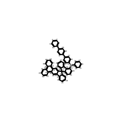 c1ccc(-c2ccc(-c3ccc(N(c4ccccc4)c4cccc5c4-c4ccccc4C54c5ccccc5-c5cc6c7ccccc7c7ccccc7c6cc54)cc3)cc2)cc1